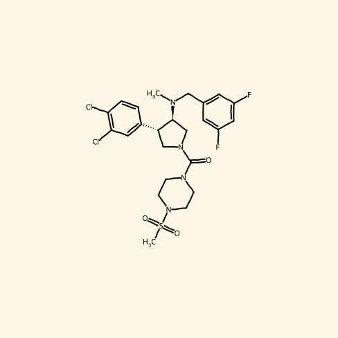 CN(Cc1cc(F)cc(F)c1)[C@H]1CN(C(=O)N2CCN(S(C)(=O)=O)CC2)C[C@@H]1c1ccc(Cl)c(Cl)c1